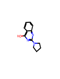 Oc1nc(N2CCCC2)nc2ccc[c]c12